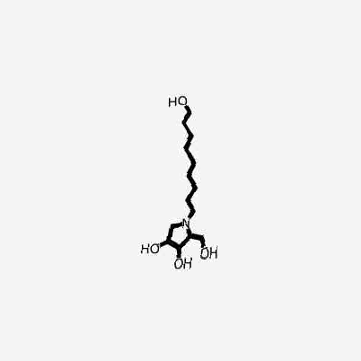 OCCCCCCCCCN1CC(O)C(O)C1CO